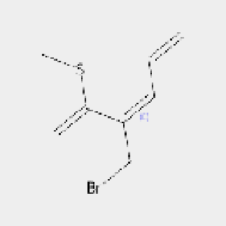 C=C/C=C(/CBr)C(=C)SC